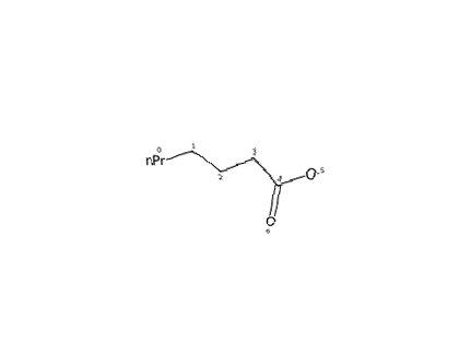 [CH2]CCCCCC([O])=O